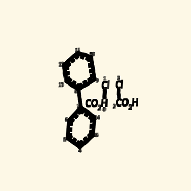 O=C(O)Cl.O=C(O)Cl.c1ccc(-c2ccccc2)cc1